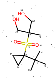 CC(C)(C)C1(S(=O)(=O)C(C)(CO)CO)CC1